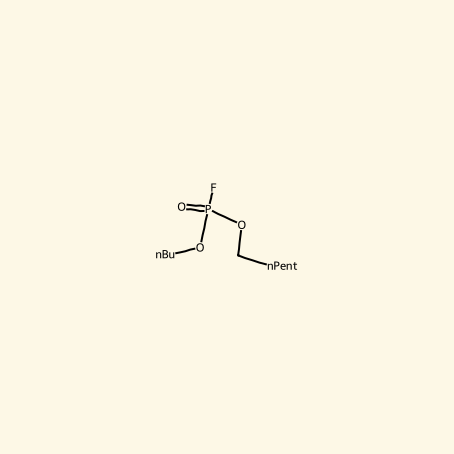 CCCCCCOP(=O)(F)OCCCC